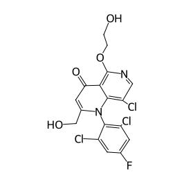 O=c1cc(CO)n(-c2c(Cl)cc(F)cc2Cl)c2c(Cl)cnc(OCCO)c12